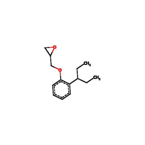 CCC(CC)c1ccccc1OCC1CO1